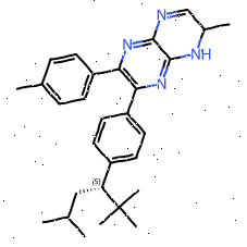 Cc1ccc(-c2nc3c(nc2-c2ccc([C@@H](CC(C)C)C(C)(C)C)cc2)NC(C)C=N3)cc1